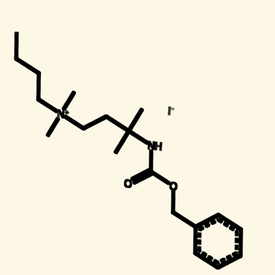 CCCC[N+](C)(C)CCC(C)(C)NC(=O)OCc1ccccc1.[I-]